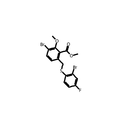 COC(=O)c1c(CSc2ccc(F)cc2Br)ccc(Br)c1OC